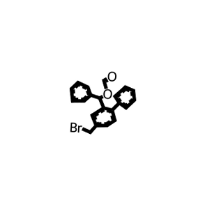 O=COC(c1ccccc1)c1cc(CBr)ccc1-c1ccccc1